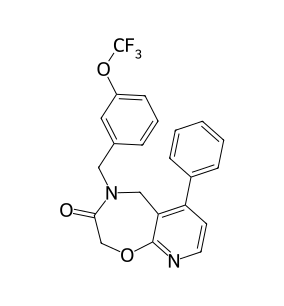 O=C1COc2nccc(-c3ccccc3)c2CN1Cc1cccc(OC(F)(F)F)c1